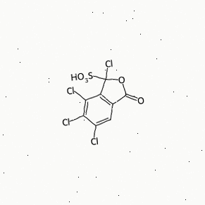 O=C1OC(Cl)(S(=O)(=O)O)c2c1cc(Cl)c(Cl)c2Cl